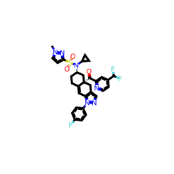 Cn1ccc(S(=O)(=O)N(C2CC2)[C@H]2CCC3=Cc4c(cnn4-c4ccc(F)cc4)C[C@]3(C(=O)c3cc(C(F)F)ccn3)C2)n1